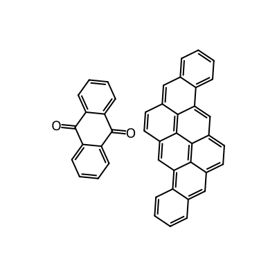 O=C1c2ccccc2C(=O)c2ccccc21.c1ccc2c(c1)cc1ccc3cc4c5ccccc5cc5ccc6cc2c1c3c6c54